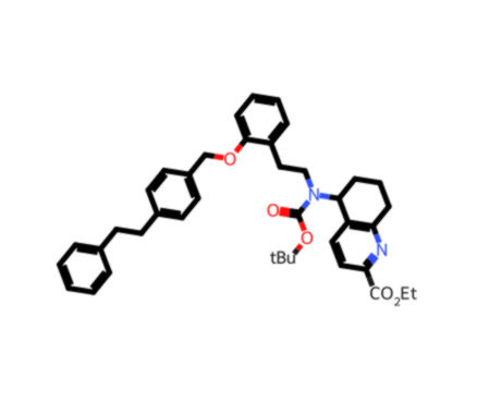 CCOC(=O)c1ccc2c(n1)CCCC2N(CCc1ccccc1OCc1ccc(CCc2ccccc2)cc1)C(=O)OC(C)(C)C